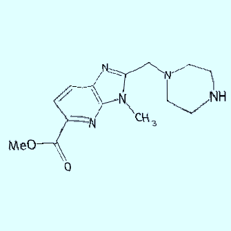 COC(=O)c1ccc2nc(CN3CCNCC3)n(C)c2n1